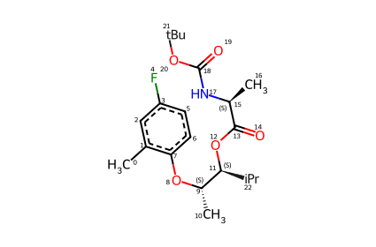 Cc1cc(F)ccc1O[C@@H](C)[C@@H](OC(=O)[C@H](C)NC(=O)OC(C)(C)C)C(C)C